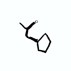 CC(=O)C=C1CCCC1